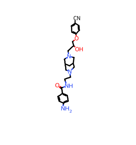 N#Cc1ccc(OCC(O)CN2CC3CC(CN(CCNC(=O)c4ccc(N)cc4)C3)C2)cc1